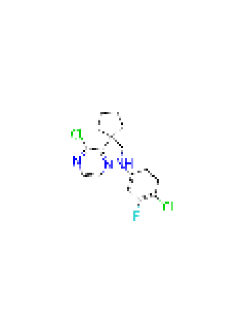 Fc1cc(NCC2(c3nccnc3Cl)CCCC2)ccc1Cl